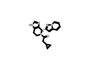 O=C(CC1CC1)N1CCc2[nH]cnc2[C@@H]1c1cc2ccccn2n1